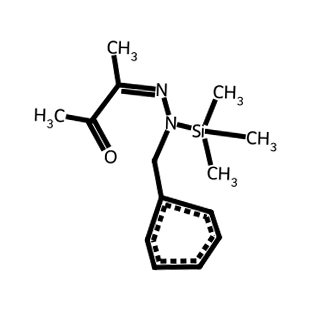 CC(=O)C(C)=NN(Cc1ccccc1)[Si](C)(C)C